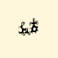 Cc1sc(Sc2cccc(C(F)(F)F)c2)nc1C=O